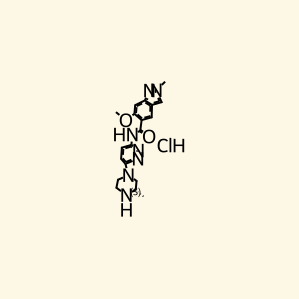 COc1cc2nn(C)cc2cc1C(=O)Nc1ccc(N2CCN[C@@H](C)C2)nn1.Cl